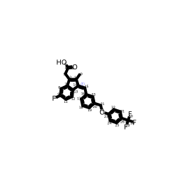 CC1=C(CC(=O)O)c2cc(F)ccc2/C1=C\c1cccc(COc2ccc(C(F)(F)F)cc2)c1